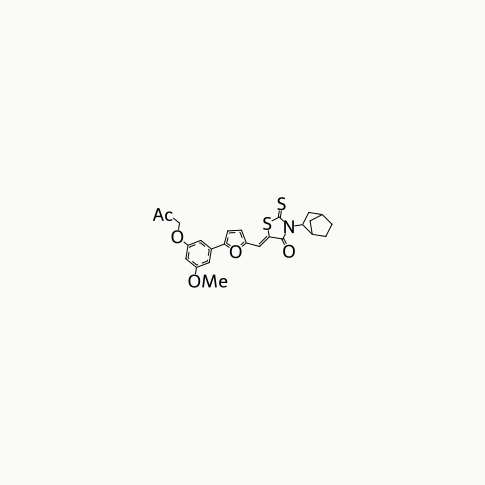 COc1cc(OCC(C)=O)cc(-c2ccc(/C=C3\SC(=S)N(C4CC5CCC4C5)C3=O)o2)c1